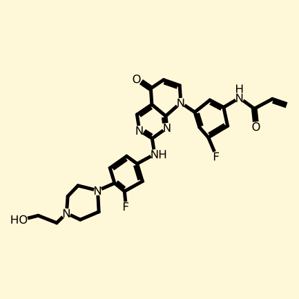 C=CC(=O)Nc1cc(F)cc(-n2ccc(=O)c3cnc(Nc4ccc(N5CCN(CCO)CC5)c(F)c4)nc32)c1